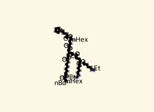 CC/C=C\CCCCOC(CCC(=O)OCC(COC(=O)CCCCCCOC(=O)C(CCCC)CCCCCC)COC(=O)CCC(CCCCCC)OC(=O)CCCN1CCCC1)OCCCC/C=C\CC